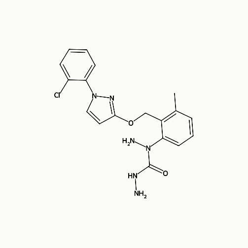 Cc1cccc(N(N)C(=O)NN)c1COc1ccn(-c2ccccc2Cl)n1